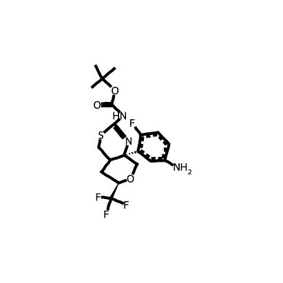 CC(C)(C)OC(=O)NC1=N[C@@]2(c3cc(N)ccc3F)CO[C@@H](C(F)(F)F)CC2CS1